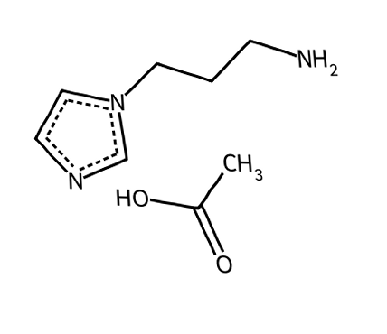 CC(=O)O.NCCCn1ccnc1